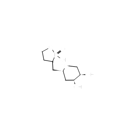 O=P1(O)OCCC1C[C@@H]1C[C@H](O)[C@H](O)CO1